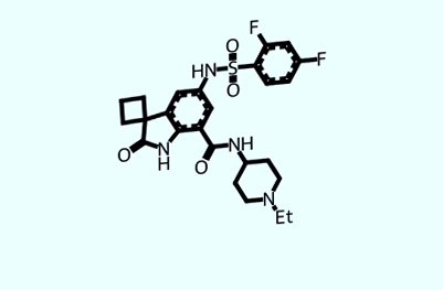 CCN1CCC(NC(=O)c2cc(NS(=O)(=O)c3ccc(F)cc3F)cc3c2NC(=O)C32CCC2)CC1